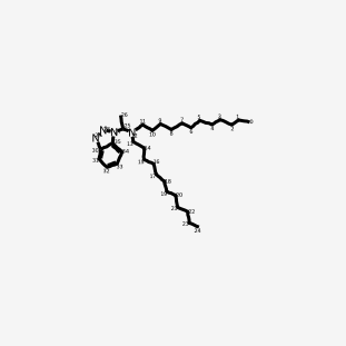 CCCCCCCCCCCCN(CCCCCCCCCCCC)C(C)n1nnc2ccccc21